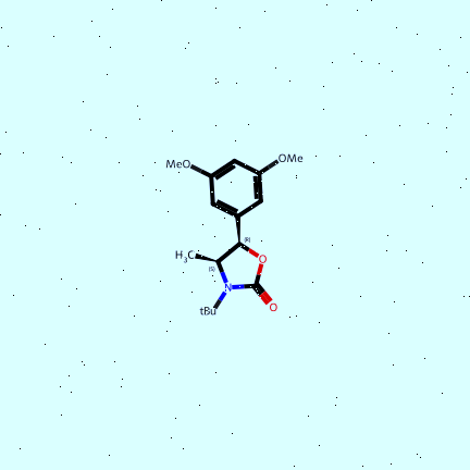 COc1cc(OC)cc([C@H]2OC(=O)N(C(C)(C)C)[C@H]2C)c1